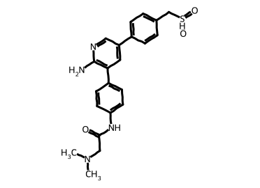 CN(C)CC(=O)Nc1ccc(-c2cc(-c3ccc(C[SH](=O)=O)cc3)cnc2N)cc1